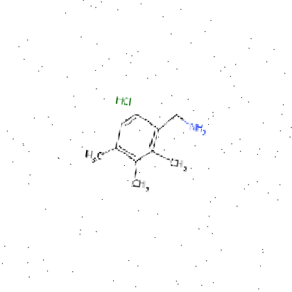 Cc1ccc(CN)c(C)c1C.Cl